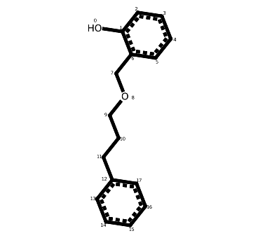 Oc1ccccc1COCCCc1ccccc1